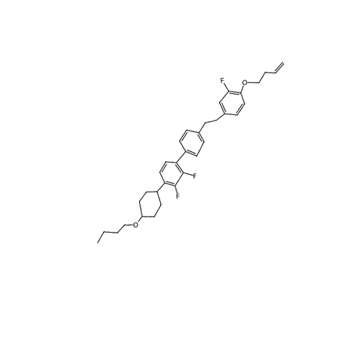 C=CCCOc1ccc(CCc2ccc(-c3ccc(C4CCC(OCCCC)CC4)c(F)c3F)cc2)cc1F